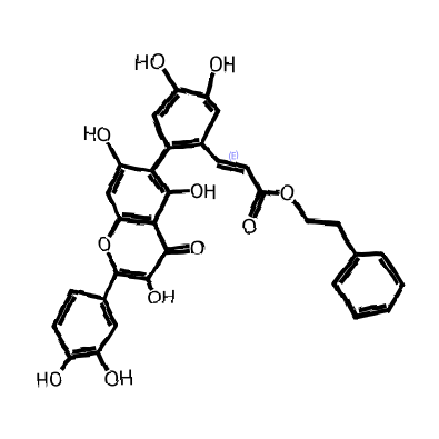 O=C(/C=C/c1cc(O)c(O)cc1-c1c(O)cc2oc(-c3ccc(O)c(O)c3)c(O)c(=O)c2c1O)OCCc1ccccc1